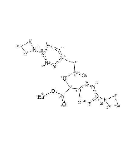 CC(C)(C)OC(=O)C(OC(=O)Cc1ccc(N2CCC2)nc1)c1ccc(N2CCC2)nc1